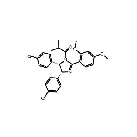 COc1ccc(C2=N[C@H](c3ccc(Cl)cc3)[C@H](c3ccc(Cl)cc3)N2C(=O)C(C)C)c(OC)c1